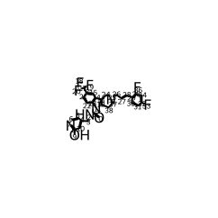 O=C(NCc1ccnc(O)c1)n1c2c(c3cc(C(F)(F)F)ccc31)CN(CC=Cc1ccc(F)cc1F)CC2